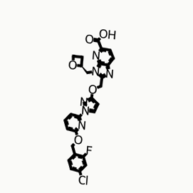 O=C(O)c1ccc2nc(COc3ccn(-c4cccc(OCc5ccc(Cl)cc5F)n4)n3)n(C[C@@H]3CCO3)c2n1